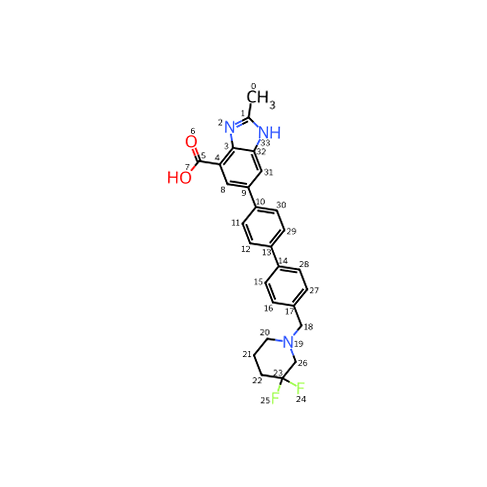 Cc1nc2c(C(=O)O)cc(-c3ccc(-c4ccc(CN5CCCC(F)(F)C5)cc4)cc3)cc2[nH]1